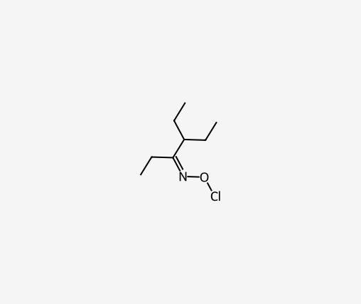 CCC(=NOCl)C(CC)CC